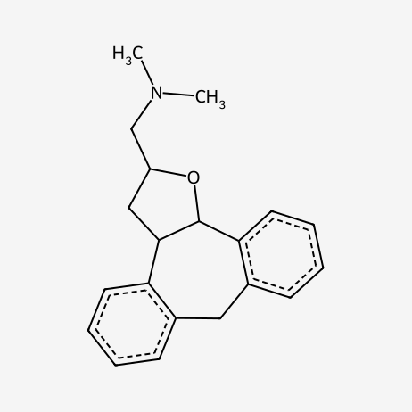 CN(C)CC1CC2c3ccccc3Cc3ccccc3C2O1